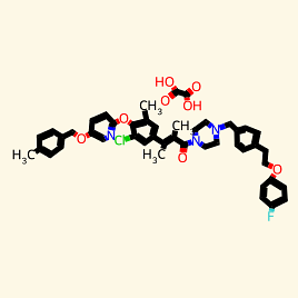 C/C(C(=O)N1CCN(Cc2ccc(CCOc3ccc(F)cc3)cc2)CC1)=C(/C)c1cc(C)c(Oc2ccc(OCc3ccc(C)cc3)cn2)c(Cl)c1.O=C(O)C(=O)O